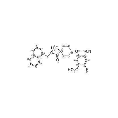 C[C@]1(C(=O)OCc2cccc3ccccc23)CC[C@@H](Oc2cc(C(=O)O)c(F)cc2C#N)CC1